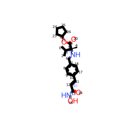 CC(C)[C@@](C)(NCc1ccc(/C=C/C(=O)NO)cc1)C(=O)OC1CCCC1